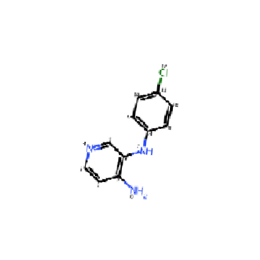 Nc1ccncc1Nc1ccc(Cl)cc1